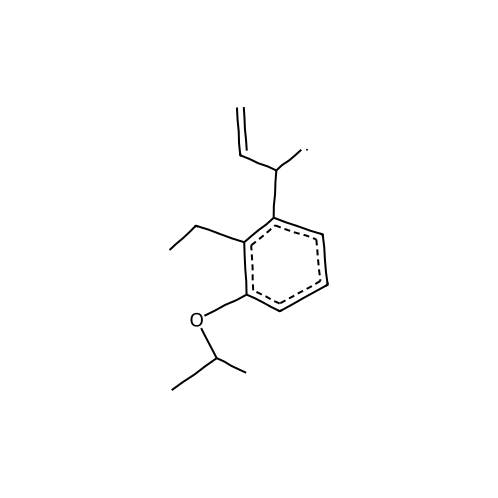 [CH2]C(C=C)c1cccc(OC(C)C)c1CC